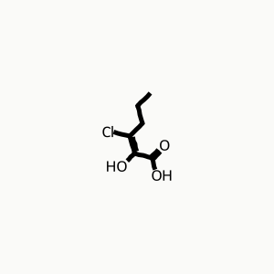 CCC/C(Cl)=C(/O)C(=O)O